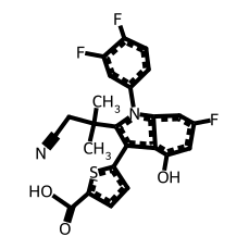 CC(C)(CC#N)c1c(-c2ccc(C(=O)O)s2)c2c(O)cc(F)cc2n1-c1ccc(F)c(F)c1